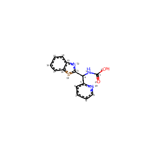 O=C(O)NC(c1ccccn1)c1nc2ccccc2s1